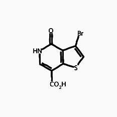 O=C(O)c1c[nH]c(=O)c2c(Br)csc12